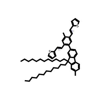 CCCCCCCCCCCCC1(CCCCCCCCCCCC)c2cc(C)ccc2-c2ccc(-c3cc(/C=C/c4cccs4)c(C)cc3/C=C/c3cccs3)cc21